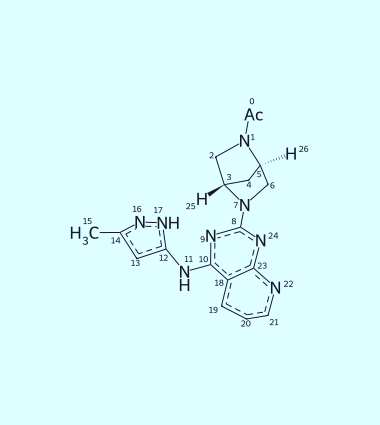 CC(=O)N1C[C@@H]2C[C@@H]1CN2c1nc(Nc2cc(C)n[nH]2)c2cccnc2n1